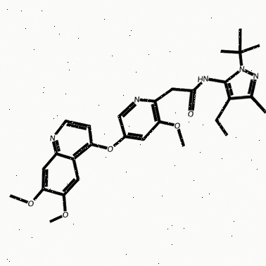 CCc1c(C)nn(C(C)(C)C)c1NC(=O)Cc1ncc(Oc2ccnc3cc(OC)c(OC)cc23)cc1OC